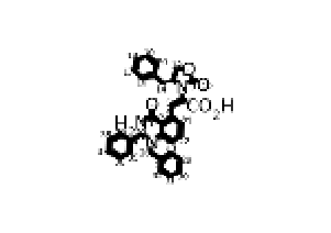 NC(=O)c1c(C=C(C(=O)O)N2C(=O)OC[C@@H]2Cc2ccccc2)cccc1N(Cc1ccccc1)Cc1ccccc1